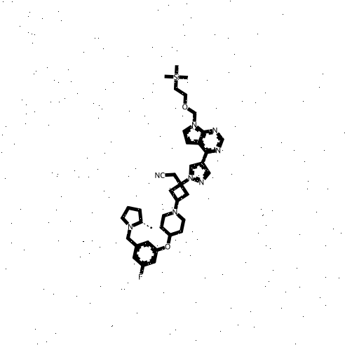 C[C@H]1CCCN1Cc1cc(F)cc(OC2CCN(C3CC(CC#N)(n4cc(-c5ncnc6c5ccn6COCC[Si](C)(C)C)cn4)C3)CC2)c1